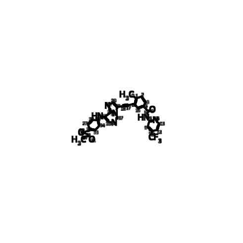 Cc1ccc(C(=O)Nc2cc(C(F)(F)F)ccn2)cc1C#Cc1cnc2c(Nc3ccc(S(C)(=O)=O)cc3)cncn12